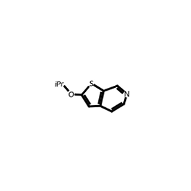 CC(C)Oc1cc2ccncc2s1